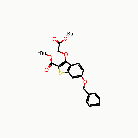 CC(C)(C)OC(=O)COc1c(C(=O)OC(C)(C)C)sc2cc(OCc3ccccc3)ccc12